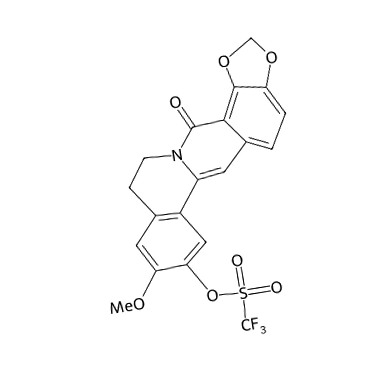 COc1cc2c(cc1OS(=O)(=O)C(F)(F)F)-c1cc3ccc4c(c3c(=O)n1CC2)OCO4